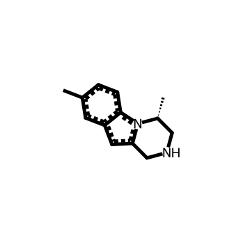 Cc1ccc2c(c1)cc1n2[C@H](C)CNC1